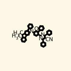 CC1(C)c2ccccc2-c2cc3c(cc21)c1ccccc1n3-c1ccc(-c2nc(-c3ccccc3)c(C#N)c(-c3ccccc3)n2)c2c1oc1ccccc12